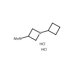 CNC1CN(C2CCC2)C1.Cl.Cl